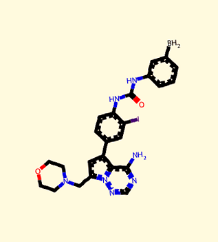 Bc1cccc(NC(=O)Nc2ccc(-c3cc(CN4CCOCC4)n4ncnc(N)c34)cc2I)c1